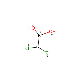 OB(O)C(Cl)Cl